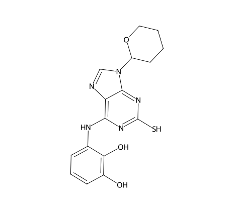 Oc1cccc(Nc2nc(S)nc3c2ncn3C2CCCCO2)c1O